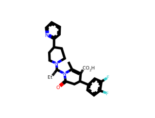 [CH2]CC(N1CCC(c2ccccn2)CC1)N1C(=O)CC(c2ccc(F)c(F)c2)C(C(=O)O)=C1C